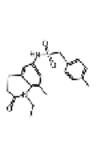 CCN1C(=O)CCc2cc(NS(=O)(=O)Cc3ccc(C)cc3)cc(C)c21